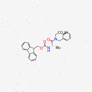 CCOC(=O)CN(Cc1ccccc1)C(=O)[C@@H](NC(=O)OCC1c2ccccc2-c2ccccc21)[C@@H](C)CC